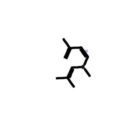 C=C(C)/C=C\B(C)C=C(C)C